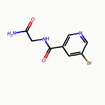 NC(=O)CNC(=O)c1cncc(Br)c1